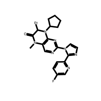 CCC1C(=O)N(C)c2cnc(-n3ccnc3-c3ccc(F)cn3)nc2N1C1CCCC1